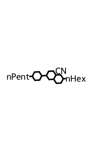 CCCCCCC1CCC2CC(C3CCC(CCCCC)CC3)CCC2(C#N)C1